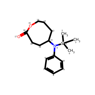 C[Si](C)(C)N(c1ccccc1)C1CCCOC(=O)CC1